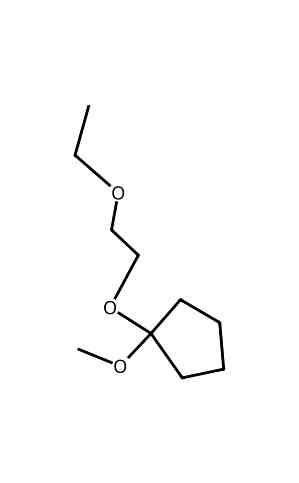 CCOCCOC1(OC)CCCC1